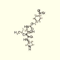 CC(C)C[C@H](NC(=O)OCc1ccc([N+](=O)[O-])cc1)[C@@H](O)CC(=O)N[C@H]1CCNC1